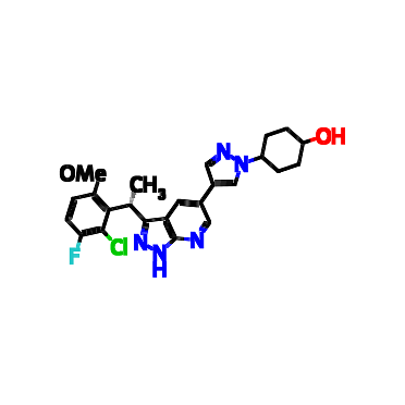 COc1ccc(F)c(Cl)c1[C@H](C)c1n[nH]c2ncc(-c3cnn(C4CCC(O)CC4)c3)cc12